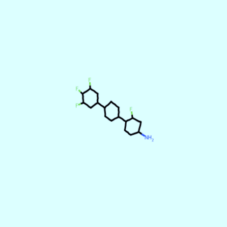 NC1CCC(C2CCC(C3CC(F)C(F)C(F)C3)CC2)C(F)C1